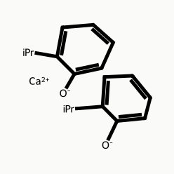 CC(C)c1ccccc1[O-].CC(C)c1ccccc1[O-].[Ca+2]